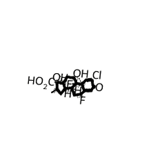 C[C@@H]1C[C@H]2[C@@H]3C[C@H](F)C4=CC(=O)C(Cl)=C[C@]4(C)[C@@]3(F)[C@@H](O)C[C@]2(C)[C@@]1(O)C(=O)O